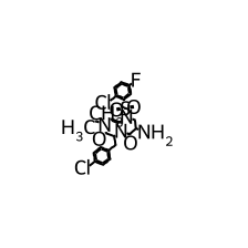 CC(C)N1C=C2N(C(=O)C(N)CN2S(=O)(=O)c2cc(F)ccc2Cl)C(Cc2ccc(Cl)cc2)C1=O